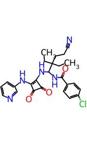 CCC(CC)(CCC#N)C(NC(=O)c1ccc(Cl)cc1)Nc1c(Nc2cccnc2)c(=O)c1=O